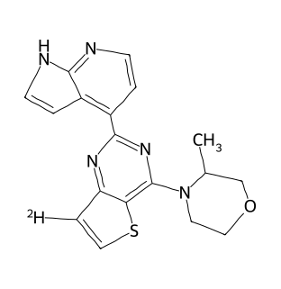 [2H]c1csc2c(N3CCOCC3C)nc(-c3ccnc4[nH]ccc34)nc12